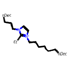 CCCCCCCCCCCCCCCC[n+]1ccn(CCCCCCCCCCCCC)c1CC